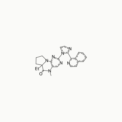 CCC12CCCN1c1nc(-n3ccnc3-c3nccc4ccccc34)ncc1N(C)C2=O